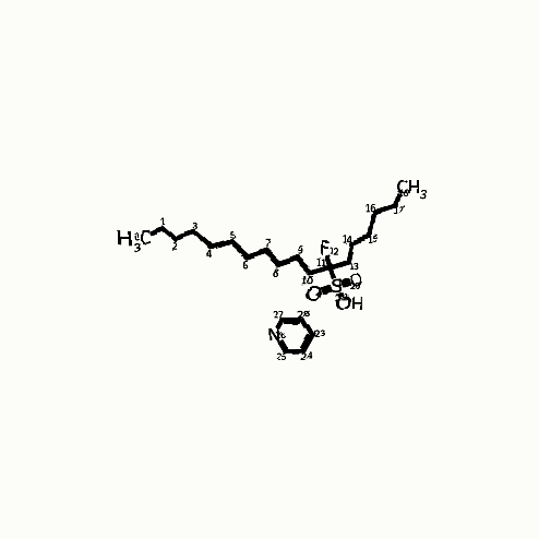 CCCCCCCCCCCC(F)(CCCCCC)S(=O)(=O)O.c1ccncc1